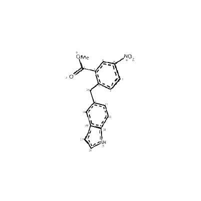 COC(=O)c1cc([N+](=O)[O-])ccc1Cc1ccc2[nH]ccc2c1